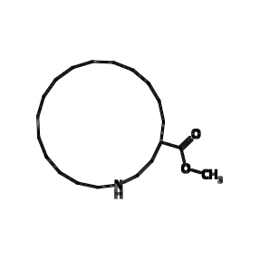 COC(=O)C1CCCCCCCCCCCCCCCNCC1